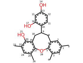 Cc1cc(C)c2c(c1)CC(c1ccc(O)cc1O)Cc1c(O)c(C)cc(C)c1O2